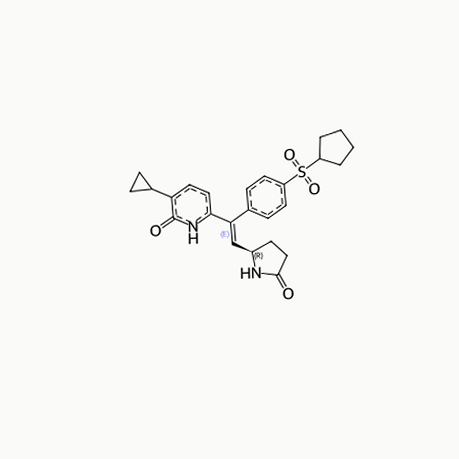 O=C1CC[C@H](/C=C(\c2ccc(S(=O)(=O)C3CCCC3)cc2)c2ccc(C3CC3)c(=O)[nH]2)N1